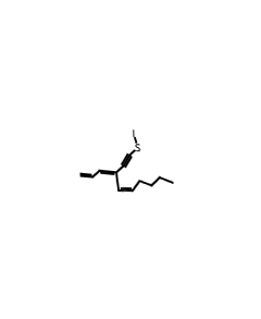 C=C/C=C(C#CSI)\C=C/CCCC